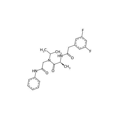 CC(C)N(CC(=O)Nc1ccccc1)C(=O)[C@H](C)NC(=O)Cc1cc(F)cc(F)c1